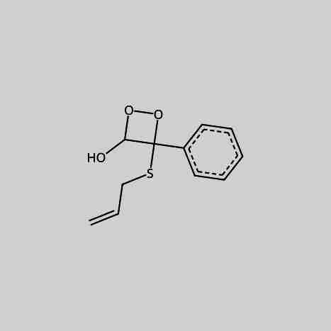 C=CCSC1(c2ccccc2)OOC1O